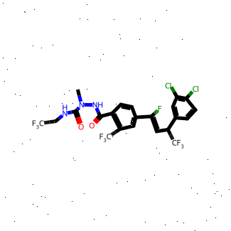 CN(NC(=O)c1ccc(C(F)=CC(c2ccc(Cl)c(Cl)c2)C(F)(F)F)cc1C(F)(F)F)C(=O)NCC(F)(F)F